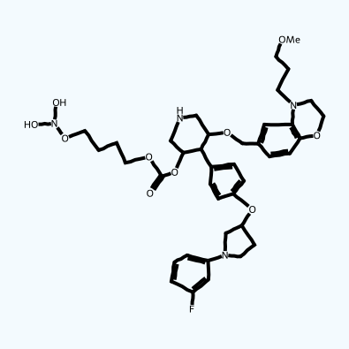 COCCCN1CCOc2ccc(COC3CNCC(OC(=O)OCCCCON(O)O)C3c3ccc(OC4CCN(c5cccc(F)c5)C4)cc3)cc21